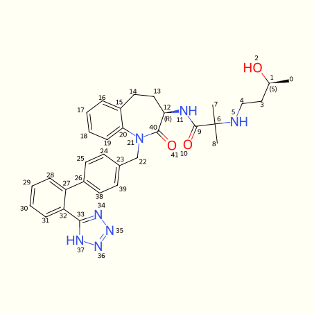 C[C@H](O)CCNC(C)(C)C(=O)N[C@@H]1CCc2ccccc2N(Cc2ccc(-c3ccccc3-c3nnn[nH]3)cc2)C1=O